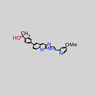 COc1ccnc(CCc2nc3cc4cc(-c5ccc(C(C)O)cc5)ccc4nc3[nH]2)c1